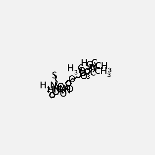 COc1cc(C(=O)N(C(C)C)C(C)C)ccc1OCCCCOc1ccc2c(NC(=O)C(Cc3ccccc3)NC(=O)C(N)CCC=S)noc2c1